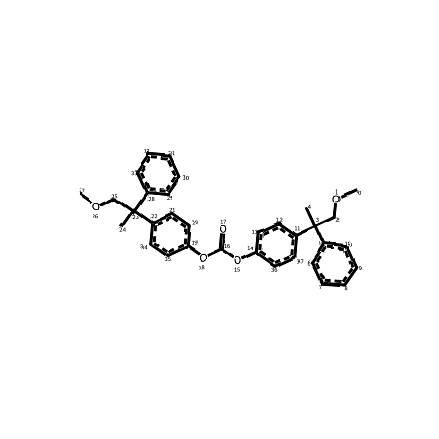 COCC(C)(c1ccccc1)c1ccc(OC(=O)Oc2ccc(C(C)(COC)c3ccccc3)cc2)cc1